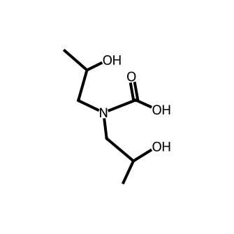 CC(O)CN(CC(C)O)C(=O)O